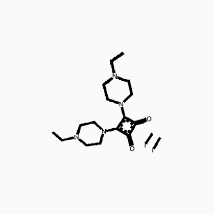 CCN1CCN(c2c(N3CCN(CC)CC3)c(=O)c2=O)CC1.CI.CI